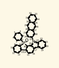 O=P1(c2ccccc2)c2ccccc2-c2ccc3c4ccccc4n(-c4ccc5cc6ccccc6cc5c4)c3c21